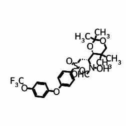 CC1(C)OCC(C)(C)[C@H]([C@@H](CS(=O)(=O)c2ccc(Oc3ccc(OC(F)(F)F)cc3)cc2)N(O)C=O)O1